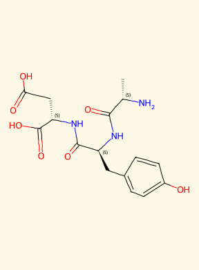 C[C@H](N)C(=O)N[C@@H](Cc1ccc(O)cc1)C(=O)N[C@@H](CC(=O)O)C(=O)O